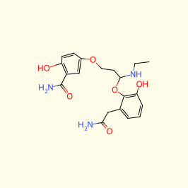 CCNC(CCOc1ccc(O)c(C(N)=O)c1)Oc1c(O)cccc1CC(N)=O